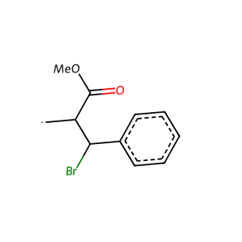 [CH2]C(C(=O)OC)C(Br)c1ccccc1